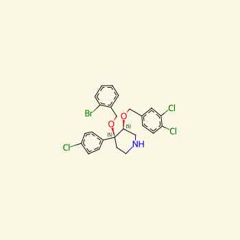 Clc1ccc([C@@]2(OCc3ccccc3Br)CCNC[C@@H]2OCc2ccc(Cl)c(Cl)c2)cc1